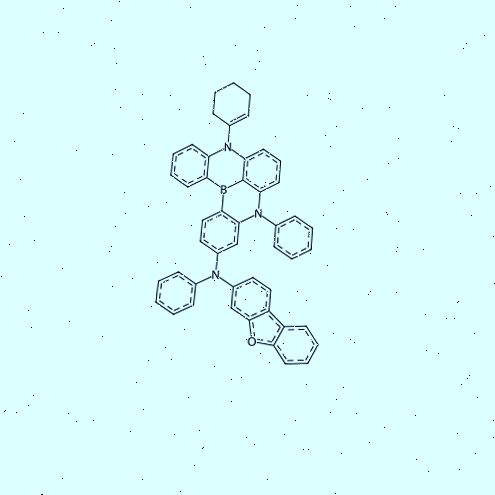 C1=C(N2c3ccccc3B3c4ccc(N(c5ccccc5)c5ccc6c(c5)oc5ccccc56)cc4N(c4ccccc4)c4cccc2c43)CCCC1